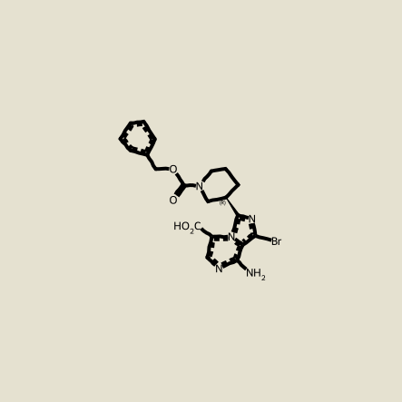 Nc1ncc(C(=O)O)n2c([C@@H]3CCCN(C(=O)OCc4ccccc4)C3)nc(Br)c12